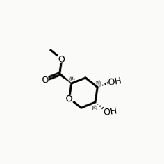 COC(=O)[C@H]1C[C@H](O)[C@H](O)CO1